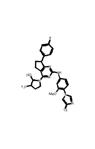 COc1cc(Nc2nc3c(c(N4CCC(C(F)(F)F)C4O)n2)CCC3c2ccc(F)cc2)ccc1-n1cnc(Cl)c1